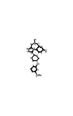 COc1cccc(O[C@H]2CC[C@H](c3nnc4n3-c3ccc(Cl)cc3CN(C)C4)CC2)c1